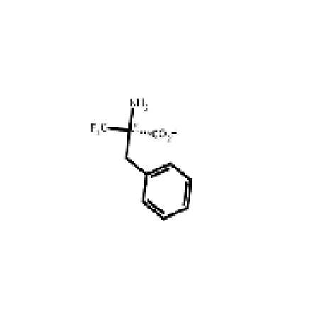 N[C@](Cc1ccccc1)(C(=O)O)C(F)(F)F